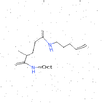 C=CCCCNC(=C)CCC(C)C(=C)NCCCCCCCC